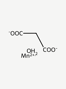 O.O=C([O-])CC(=O)[O-].[Mn+2]